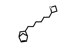 C1=CC2CC1CC2CCCCCCC1CCO1